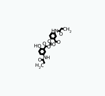 C=CC(=O)Nc1ccc(O)c(C(=O)OB2OC(=O)c3cc(NC(=O)C=C)ccc3O2)c1